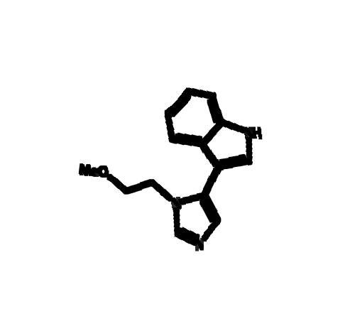 COCCn1cncc1-c1c[nH]c2ccccc12